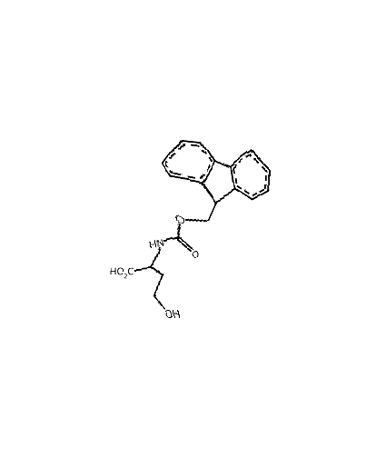 O=C(NC(CCO)C(=O)O)OCC1c2ccccc2-c2ccccc21